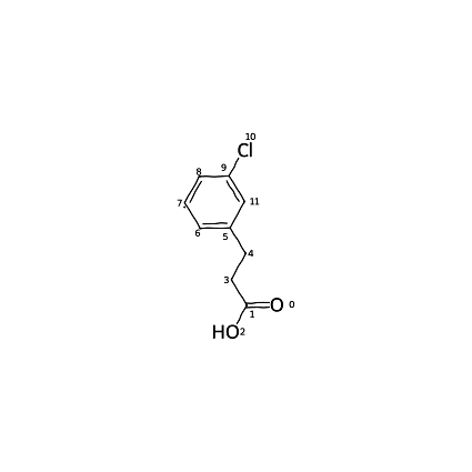 O=C(O)CCc1c[c]cc(Cl)c1